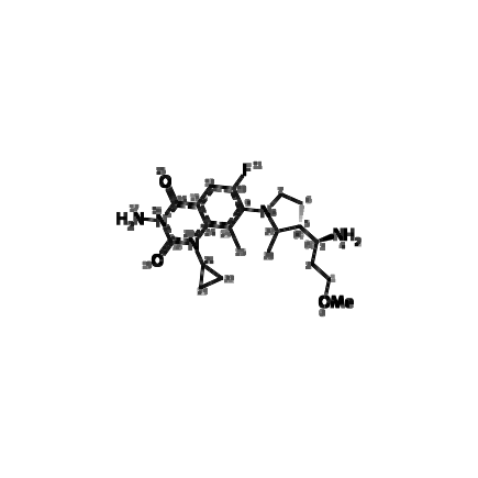 COCC[C@H](N)[C@H]1CCN(c2c(F)cc3c(=O)n(N)c(=O)n(C4CC4)c3c2C)C1C